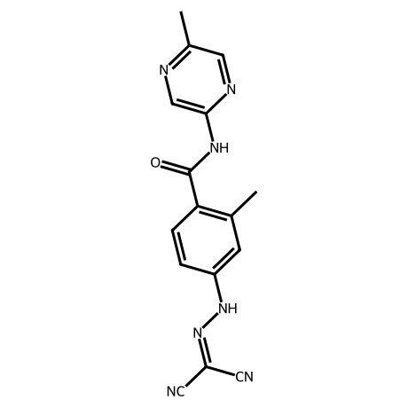 Cc1cnc(NC(=O)c2ccc(NN=C(C#N)C#N)cc2C)cn1